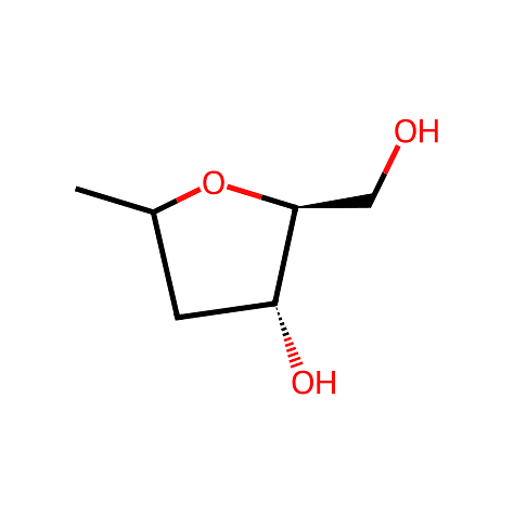 CC1C[C@@H](O)[C@H](CO)O1